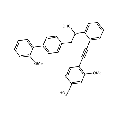 COc1cc(C(=O)O)ncc1C#Cc1ccccc1N(C=O)Cc1ccc(-c2ccccc2OC)cc1